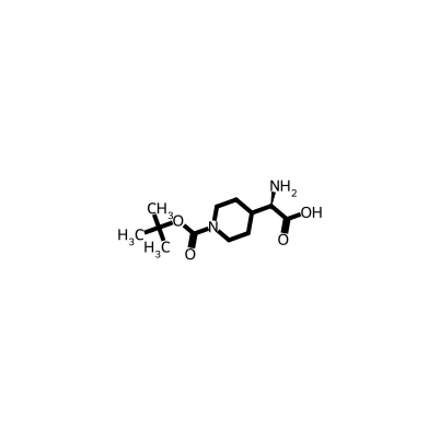 CC(C)(C)OC(=O)N1CCC([C@@H](N)C(=O)O)CC1